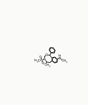 CNc1ccc2c(c1)C(c1ccccc1)OCN(S(C)(=O)=O)C(C)C2